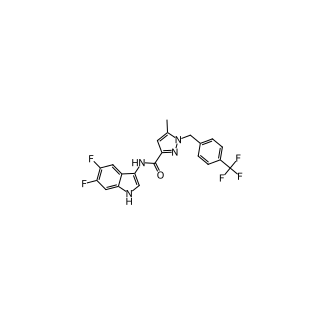 Cc1cc(C(=O)Nc2c[nH]c3cc(F)c(F)cc23)nn1Cc1ccc(C(F)(F)F)cc1